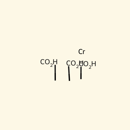 CC(=O)O.CC(=O)O.CC(=O)O.[Cr]